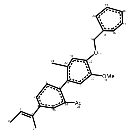 C/C=C(\C)c1ccc(-c2cc(OC)c(OCc3ccccc3)cc2C)c(C(C)=O)c1